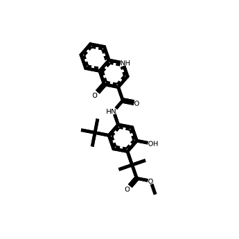 COC(=O)C(C)(C)c1cc(C(C)(C)C)c(NC(=O)c2c[nH]c3ccccc3c2=O)cc1O